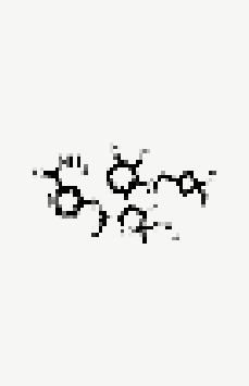 C[C@H]1[C@H](c2ccc(F)c(F)c2OCC2CC(F)(F)C2)[C@@H](C(=O)Nc2ccnc(C(N)=O)c2)O[C@]1(C)C(F)(F)F